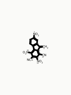 C=C1c2cc([N+](=O)[O-])ccc2-c2c1c(C#N)c([N+](=O)[O-])c(C#N)c2[N+](=O)[O-]